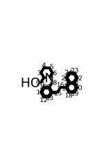 OCC1CCCCN1Cc1ccccc1CCc1cccc2ccccc12